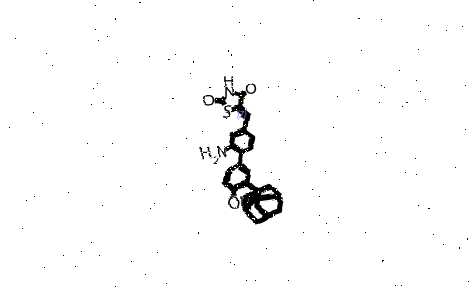 Nc1cc(/C=C2\SC(=O)NC2=O)ccc1-c1ccc(O)c(C23CC4CC(CC(C4)C2)C3)c1